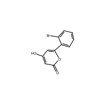 O=c1cc(O)cc(-c2ccccc2Br)o1